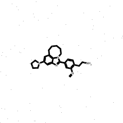 C=Nc1cc(-c2nc3cc(N4CCCC4)cc4c3n2CCCCC4)ccc1CCN